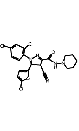 N#CC1C(C(=O)NN2CCCCC2)=NN(c2ccc(Cl)cc2Cl)C1c1ccc(Cl)s1